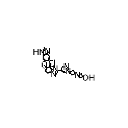 Cc1nc2ccc(Oc3ccc4ncc(-c5cnn(C6CC(N7CC(O)C7)C6)c5)nc4c3Cl)cc2[nH]1